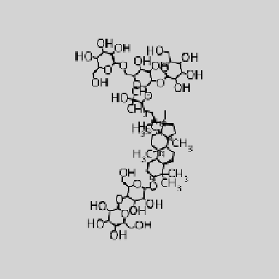 C[C@H](CCC(OC1OC(COC2OC(CO)C(O)C(O)C2O)C(O)C(O)C1OC1OC(CO)C(O)C(O)C1O)C(C)(C)O)[C@@]1(I)CC[C@@]2(C)C3CC=C4C(CC[C@H](OC5OC(CO)C(OC6OC(CO)C(O)C(O)C6O)C(O)C5O)C4(C)C)[C@]3(C)CC[C@@]21C